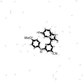 COc1ccc(Nc2cc(C#N)cc(-c3c(C)nc4ccc(F)cn34)n2)cc1